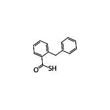 O=C(S)c1ccccc1Cc1ccccc1